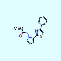 COC(=O)Cn1cccc1-c1nc(-c2ccccc2)cs1